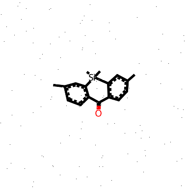 Cc1ccc2c(c1)[Si](C)(C)c1cc(C)ccc1C2=O